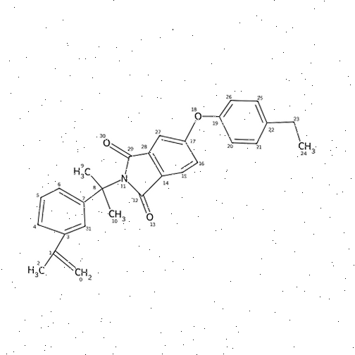 C=C(C)c1cccc(C(C)(C)N2C(=O)c3ccc(Oc4ccc(CC)cc4)cc3C2=O)c1